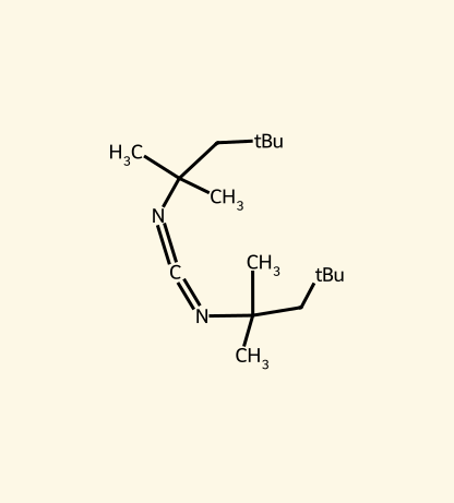 CC(C)(C)CC(C)(C)N=C=NC(C)(C)CC(C)(C)C